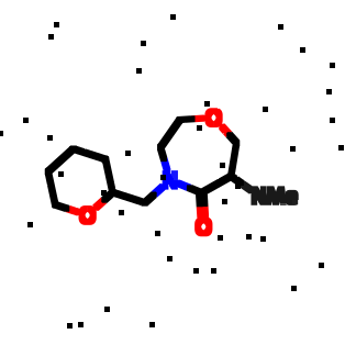 CNC1COCCN(CC2CCCCO2)C1=O